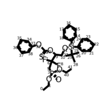 CCOP(=O)(CC(F)(F)C(CO[Si](c1ccccc1)(c1ccccc1)C(C)(C)C)OC(=S)Oc1ccccc1)OCC